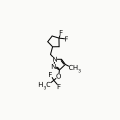 Cc1cn(CC2CCC(F)(F)C2)nc1OC(C)(F)F